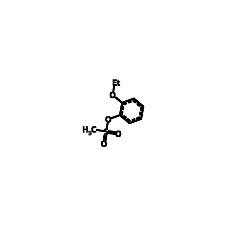 [CH2]COc1ccccc1OS(C)(=O)=O